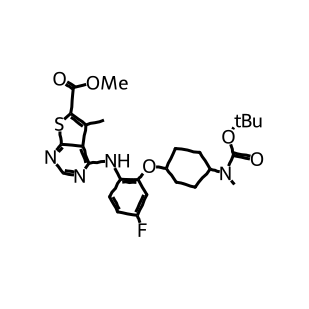 COC(=O)c1sc2ncnc(Nc3ccc(F)cc3OC3CCC(N(C)C(=O)OC(C)(C)C)CC3)c2c1C